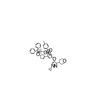 Cc1ccc(S(=O)(=O)n2cc(Oc3cn(C4CC4)nc3C3CCOCC3)cc2C2=CCC(O[Si](c3ccccc3)(c3ccccc3)C(C)(C)C)C2)cc1